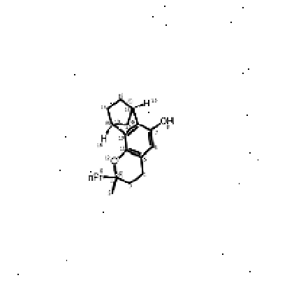 CCC[C@]1(C)CCc2cc(O)c3c(c2O1)[C@@H]1CC[C@H]3C1